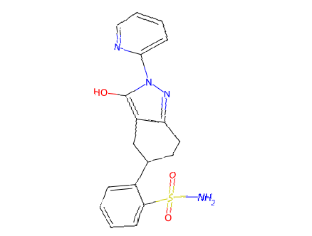 NS(=O)(=O)c1ccccc1C1CCc2nn(-c3ccccn3)c(O)c2C1